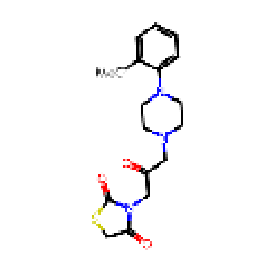 COc1ccccc1N1CCN(CC(=O)CN2C(=O)CSC2=O)CC1